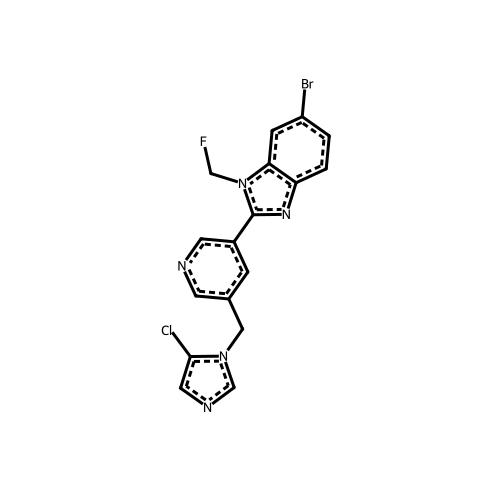 FCn1c(-c2cncc(Cn3cncc3Cl)c2)nc2ccc(Br)cc21